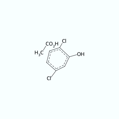 CC(=O)O.Oc1cc(Cl)ccc1Cl